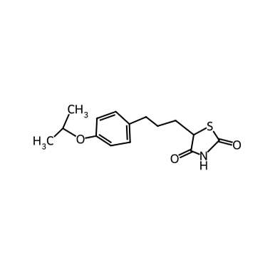 CC(C)Oc1ccc(CCCC2SC(=O)NC2=O)cc1